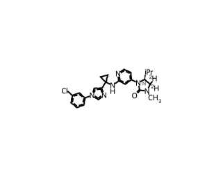 [2H]C1([2H])[C@H](C(C)C)N(c2ccnc(NC3(c4cn(-c5cccc(Cl)c5)cn4)CC3)c2)C(=O)N1C